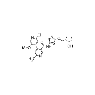 COc1cnc(Cl)cc1-c1cc(C)ncc1C(=O)Nc1nnc(OCC2CCCC2O)s1